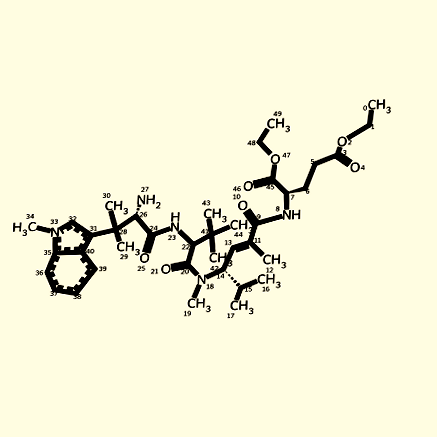 CCOC(=O)CC[C@@H](NC(=O)/C(C)=C/[C@H](C(C)C)N(C)C(=O)C(NC(=O)[C@@H](N)C(C)(C)c1cn(C)c2ccccc12)C(C)(C)C)C(=O)OCC